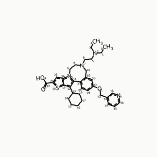 CCN(CC)CCN1CCn2c(c(C3CCCCC3)c3sc(C(=O)O)cc32)-c2ccc(OCc3cccnc3)cc2C1